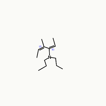 C/C=C(C)\C(=C/C)N(CCC)CCC